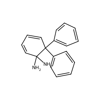 NC1(N)C=CC=CC1(c1ccccc1)c1ccccc1